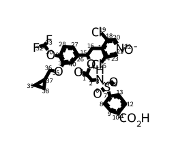 O=C(CNS(=O)(=O)c1ccc(C(=O)O)cc1)OC(Cc1c(Cl)c[n+]([O-])cc1Cl)c1ccc(OC(F)F)c(OCC2CC2)c1